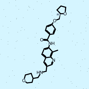 Cc1c(NC(=O)c2ccc(OC[C@H]3CCCO3)cc2)ccc2cc(CNCC3CCOCC3)cnc12